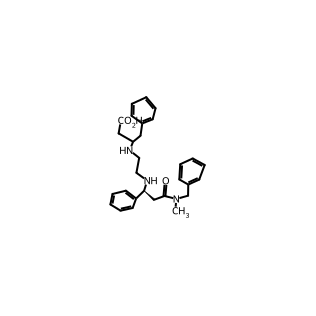 CN(Cc1ccccc1)C(=O)C[C@H](NCCNC(CC(=O)O)Cc1ccccc1)c1ccccc1